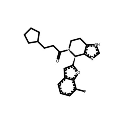 O=C(CCC1CCCC1)N1CCc2[nH]cnc2[C@H]1c1cc2cccc(F)c2o1